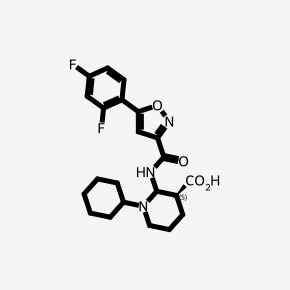 O=C(NC1[C@@H](C(=O)O)CCCN1C1CCCCC1)c1cc(-c2ccc(F)cc2F)on1